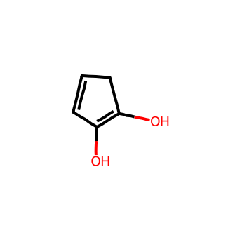 OC1=C(O)CC=C1